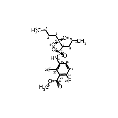 CCCCS(=O)(=O)C(CCC)S(=O)(=O)Nc1ccc(F)c(C(=O)OC)c1F